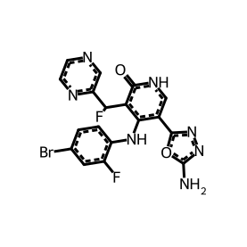 Nc1nnc(-c2c[nH]c(=O)c(C(F)c3cnccn3)c2Nc2ccc(Br)cc2F)o1